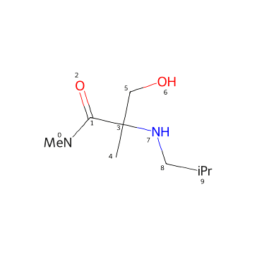 CNC(=O)C(C)(CO)NCC(C)C